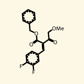 COCC(=O)/C(=C/c1ccc(F)c(F)c1)C(=O)OCc1ccccc1